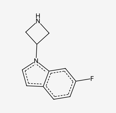 Fc1ccc2ccn(C3CNC3)c2c1